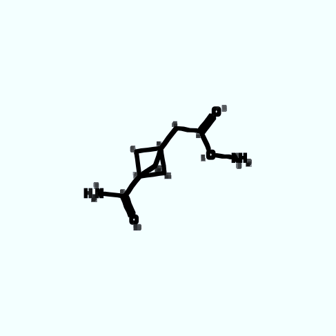 NOC(=O)CC12CC(C(N)=O)(C1)C2